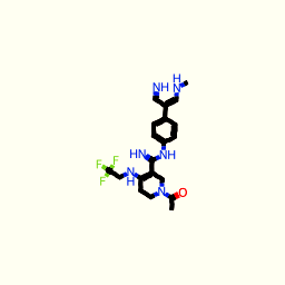 CN/C=C(\C=N)c1ccc(NC(=N)C2=C(NCC(F)(F)F)CCN(C(C)=O)C2)cc1